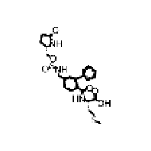 CSCC[C@H](NC(=O)c1ccc(CNS(=O)OC[C@@H]2CCC(=O)N2)cc1-c1ccccc1)C(=O)O